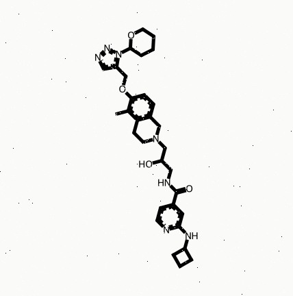 Cc1c(OCc2cnnn2C2CCCCO2)ccc2c1CCN(CC(O)CNC(=O)c1ccnc(NC3CCC3)c1)C2